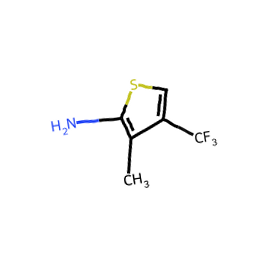 Cc1c(C(F)(F)F)csc1N